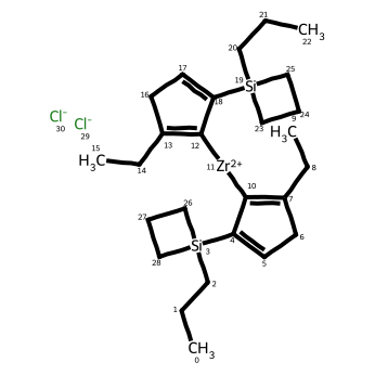 CCC[Si]1(C2=CCC(CC)=[C]2[Zr+2][C]2=C(CC)CC=C2[Si]2(CCC)CCC2)CCC1.[Cl-].[Cl-]